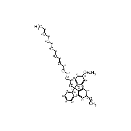 CCOCOCOCOCOCOCOCOC(c1ccccc1)(c1ccc(OC)cc1)c1ccc(OC)cc1